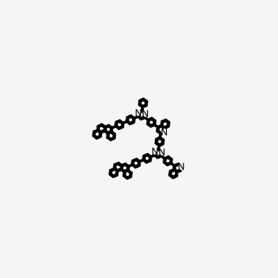 c1ccc(-c2nc(-c3ccc(-c4ccc(-c5cc6ccc7ccccc7c6c6ccccc56)cc4)cc3)cc(-c3ccc(-c4cc(-c5ccc(-c6nc(-c7ccc(-c8ccc(-c9cc%10ccc%11ccccc%11c%10c%10ccccc9%10)cc8)cc7)cc(-c7ccc(-c8cncc9ccccc89)cc7)n6)cc5)nc5ccccc45)cc3)n2)cc1